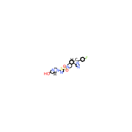 CC(c1ccc(F)cc1)n1cncc1-c1cccc2c1CCN(S(=O)(=O)c1cnc(N3CCN4C[C@H](O)C[C@H]4C3)s1)C2